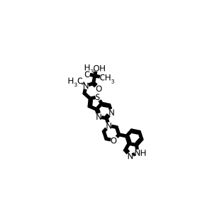 CN(Cc1cc2nc(N3CCOC(c4cccc5[nH]ncc45)C3)ncc2s1)C(=O)C(C)(C)O